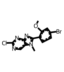 COc1cc(Br)ccc1-c1nc2nc(Cl)ncc2n1C